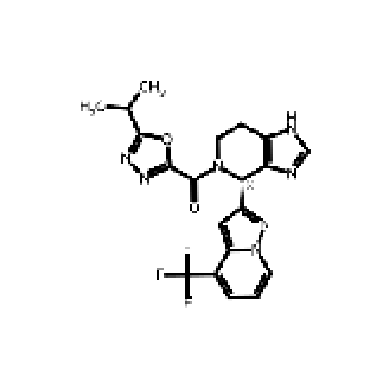 CC(C)c1nnc(C(=O)N2CCc3[nH]cnc3[C@H]2c2cc3c(C(F)(F)F)cccn3n2)o1